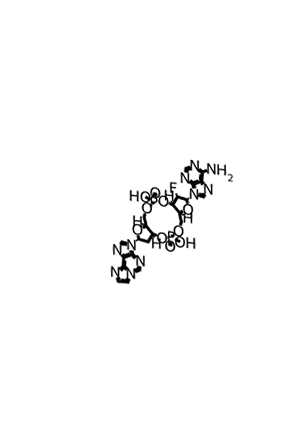 Nc1ncnc2c1ncn2[C@@H]1O[C@@H]2COP(=O)(O)O[C@H]3C[C@H](n4cnc5c4ncn4ccnc54)O[C@@H]3COP(=O)(O)O[C@H]2[C@H]1F